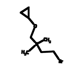 C[Si](C)(CCBr)COC1CC1